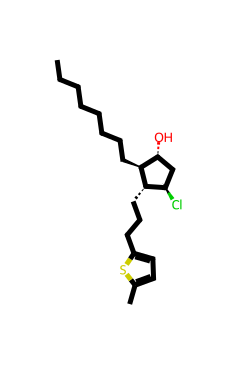 CCCCCCCC[C@@H]1[C@@H](CCCc2ccc(C)s2)[C@H](Cl)C[C@H]1O